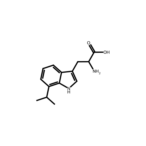 CC(C)c1cccc2c(CC(N)C(=O)O)c[nH]c12